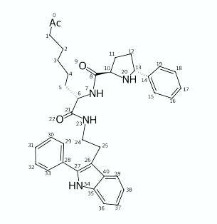 CC(=O)CCCCC[C@H](NC(=O)[C@H]1CC[C@H](c2ccccc2)N1)C(=O)NCCc1c(-c2ccccc2)[nH]c2ccccc12